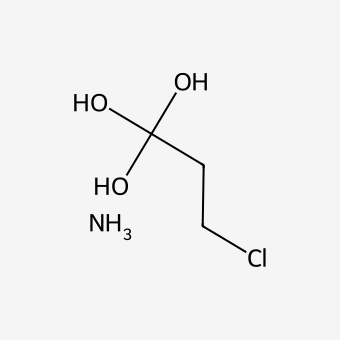 N.OC(O)(O)CCCl